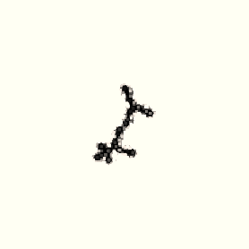 c1ccc(-c2cc(-n3c4ccc(-c5nc6ccccc6o5)cc4c4cc(-c5nc6cc(-c7ccc8nc(-c9ccc%10c(c9)c9cc(-c%11nc%12ccccc%12o%11)ccc9n%10-c9ccc(-c%10nc%11ccccc%11o%10)cn9)oc8c7)ccc6o5)ccc43)nc(-c3ccccc3)c2-c2nc3ccccc3o2)cc1